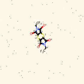 O=c1c2sc3c(=O)n(CC(F)(F)F)c(=O)c3sc2c(=O)n1CC(F)(F)F